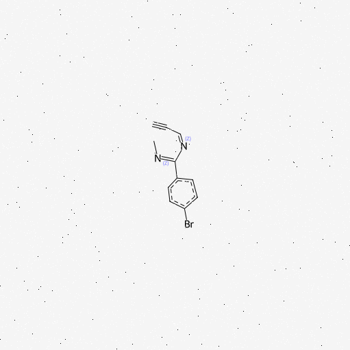 C#C/C=N\C(=N/C)c1ccc(Br)cc1